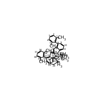 Cc1cccc(C)c1-c1cccc2c1C=C[CH]2[Hf]([CH3])([CH3])([CH3])(=[SiH2])([CH]1CCCCC1)[CH]1C=Cc2c(-c3c(C)cccc3C)cccc21